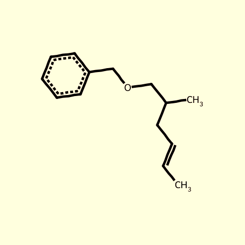 C/C=C/CC(C)COCc1ccccc1